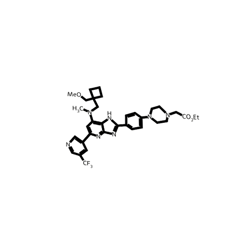 CCOC(=O)CN1CCN(c2ccc(-c3nc4nc(-c5cncc(C(F)(F)F)c5)cc(N(C)CC5(COC)CCC5)c4[nH]3)cc2)CC1